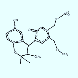 CC(=O)OC1C(n2cc(CO[N+](=O)[O-])c(CO[N+](=O)[O-])cc2=O)c2cc(C#N)ccc2OC1(C)C